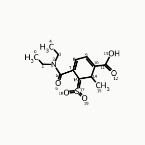 CCN(CC)C(=O)C1=CC=C(C(=O)O)C(C)C1=S(=O)=O